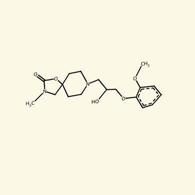 COc1ccccc1OCC(O)CN1CCC2(CC1)CN(C)C(=O)O2